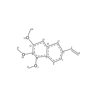 C=Cc1ccc2c(OC)c(OC)c(OC)cc2c1